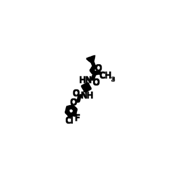 Cc1oc(C2CC2)cc1C(=O)NC12CC(NC(=O)COc3ccc(Cl)c(F)c3)(C1)C2